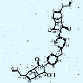 C=CCC1=CC2CC1C1C(=O)N(c3ccc(Cc4ccc(N5C(=O)C6C7CC(C=C7CC=C)C6C5O)cc4)cc3)C(=O)C21